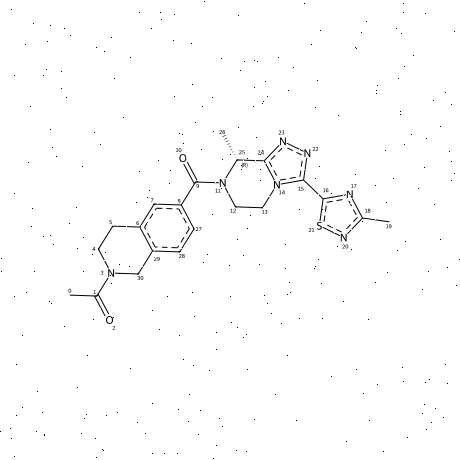 CC(=O)N1CCc2cc(C(=O)N3CCn4c(-c5nc(C)ns5)nnc4[C@H]3C)ccc2C1